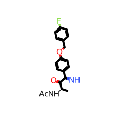 CC(=O)N[C@@H](C)C(=O)C(=N)c1ccc(OCc2ccc(F)cc2)cc1